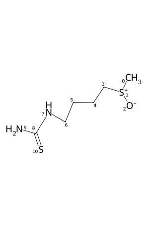 C[S+]([O-])CCCCNC(N)=S